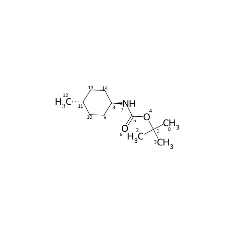 CC(C)(C)OC(=O)N[C@H]1CC[C@H](C)CC1